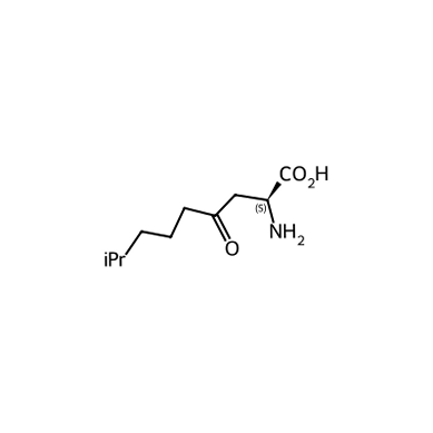 CC(C)CCCC(=O)C[C@H](N)C(=O)O